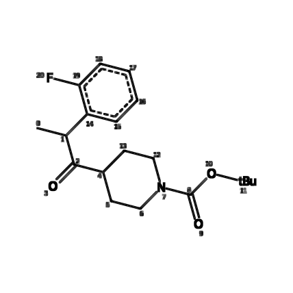 CC(C(=O)C1CCN(C(=O)OC(C)(C)C)CC1)c1ccccc1F